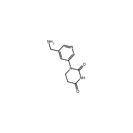 NCc1cncc(N2CCC(=O)NC2=O)c1